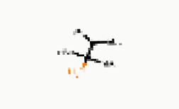 CCCCC(CCC)C(P)(CCCC)CCCC